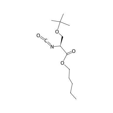 CCCCCOC(=O)[C@H](COC(C)(C)C)N=C=O